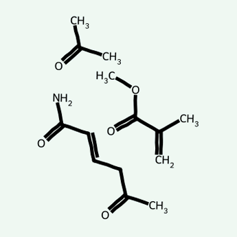 C=C(C)C(=O)OC.CC(=O)CC=CC(N)=O.CC(C)=O